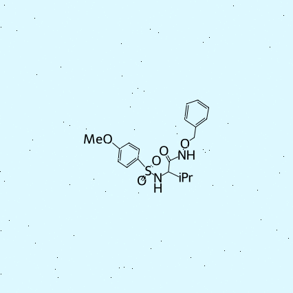 COc1ccc(S(=O)(=O)NC(C(=O)NOCc2ccccc2)C(C)C)cc1